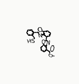 COC(=O)c1cccc2oc(-c3cccc4oc(-c5ccccc5CS)nc34)nc12